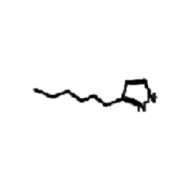 CCCCCCC1=N[N]C=C1